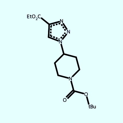 CCOC(=O)c1cn(C2CCN(C(=O)OC(C)(C)C)CC2)nn1